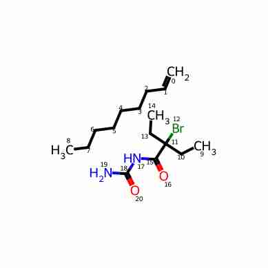 C=CCCCCCCC.CCC(Br)(CC)C(=O)NC(N)=O